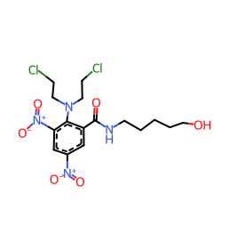 O=C(NCCCCCO)c1cc([N+](=O)[O-])cc([N+](=O)[O-])c1N(CCCl)CCCl